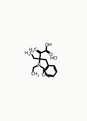 C=C(C(=O)O)C(CC)(Cc1ccccc1)N(CC)CC.Cl